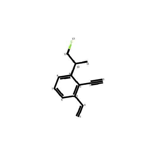 C#Cc1c(C=C)cccc1[C](C)CF